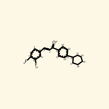 O=C(C=Cc1ccc(F)c(F)c1)c1ccc(C2CCCCC2)cc1